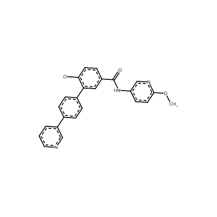 COc1ccc(NC(=O)c2ccc(Cl)c(-c3ccc(-c4cccnc4)cc3)c2)cn1